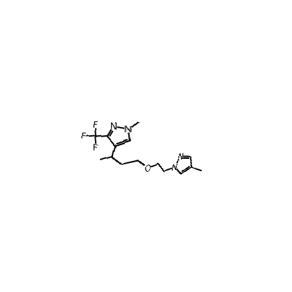 Cc1cnn(CCOCCC(C)c2cn(C)nc2C(F)(F)F)c1